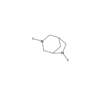 IN1CC2CC(C1)N(I)C2